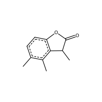 Cc1ccc2c(c1C)C(C)C(=O)O2